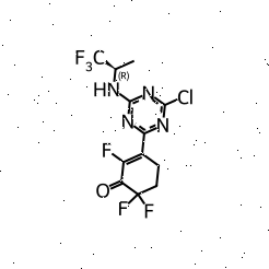 C[C@@H](Nc1nc(Cl)nc(C2=C(F)C(=O)C(F)(F)CC2)n1)C(F)(F)F